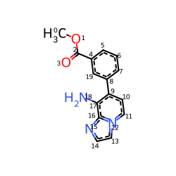 COC(=O)c1cccc(-c2ccn3ccnc3c2N)c1